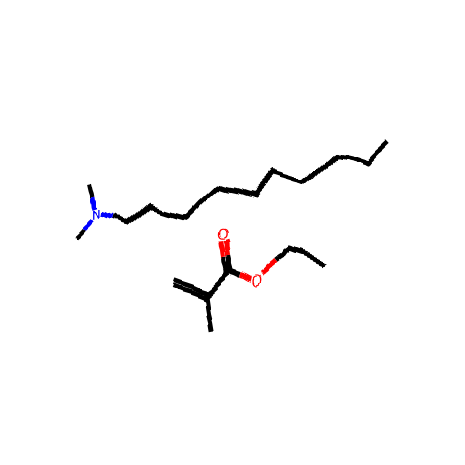 C=C(C)C(=O)OCC.CCCCCCCCCCN(C)C